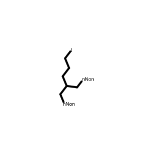 CCCCCCCCCCC(CCCI)CCCCCCCCCC